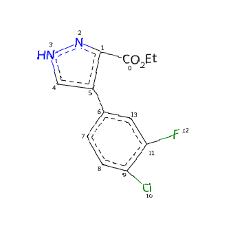 CCOC(=O)c1n[nH]cc1-c1ccc(Cl)c(F)c1